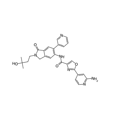 CC(C)(O)CCN1Cc2cc(NC(=O)c3coc(-c4ccnc(N)c4)n3)c(-c3cccnc3)cc2C1=O